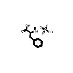 CNC(Cc1ccccc1)C(=O)O.O=P(O)(F)F